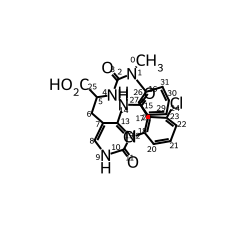 CN(C(=O)NC(Cc1c[nH]c(=O)nc1NC(=O)c1c(Cl)cccc1Cl)C(=O)O)c1ccccc1